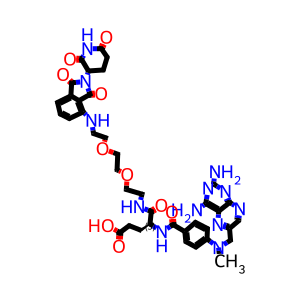 CN(Cc1cnc2nc(N)nc(N)c2n1)c1ccc(C(=O)N[C@@H](CCC(=O)O)C(=O)NCCOCCOCCNc2cccc3c2C(=O)N(C2CCC(=O)NC2=O)C3=O)cc1